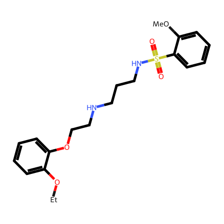 CCOc1ccccc1OCCNCCCNS(=O)(=O)c1ccccc1OC